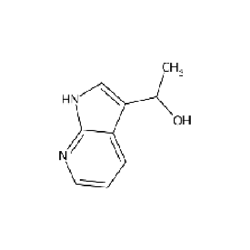 CC(O)c1c[nH]c2ncccc12